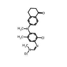 CCN(C)/C=N\c1cc(C)c(N(C)c2ccc3c(c2)CCCC3=O)cc1Cl